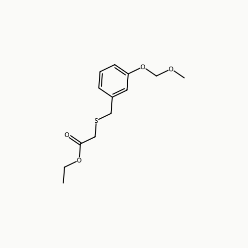 CCOC(=O)CSCc1cccc(OCOC)c1